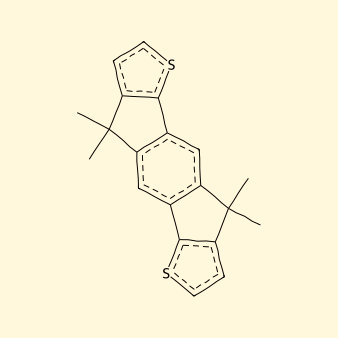 CC1(C)c2cc3c(cc2-c2sccc21)C(C)(C)c1ccsc1-3